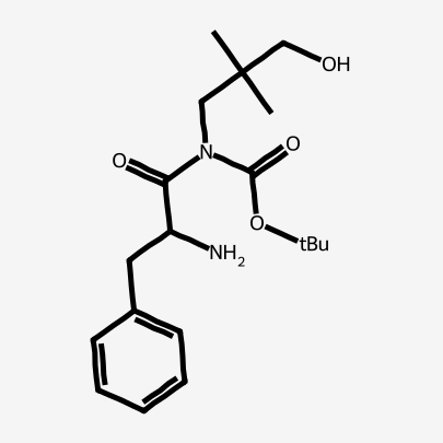 CC(C)(CO)CN(C(=O)OC(C)(C)C)C(=O)C(N)Cc1ccccc1